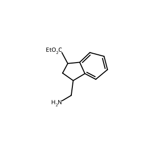 CCOC(=O)C1CC(CN)c2ccccc21